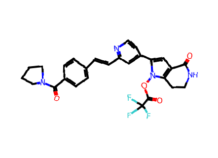 O=C1NCCc2c1cc(-c1ccnc(C=Cc3ccc(C(=O)N4CCCC4)cc3)c1)n2OC(=O)C(F)(F)F